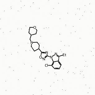 CCc1nn(-c2noc(C3CCN(CC4CCOCC4)CC3)n2)c2c(Cl)cccc12